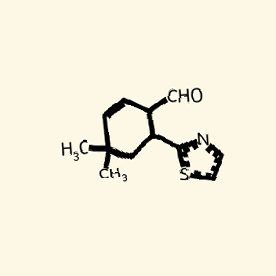 CC1(C)C=CC(C=O)C(c2nccs2)C1